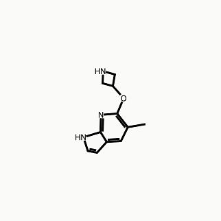 Cc1cc2cc[nH]c2nc1OC1CNC1